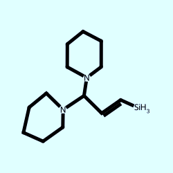 [SiH3]C=CC(N1CCCCC1)N1CCCCC1